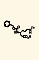 CCNCCC[C@@H](CC(=O)O)NC(=O)OCc1ccccc1